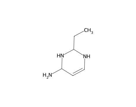 CCC1NC=CC(N)N1